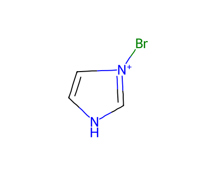 Br[n+]1cc[nH]c1